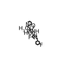 CN1C(=O)[C@@H](NC(O)c2nn(Cc3cccc(F)c3)cc2F)COc2cccnc21